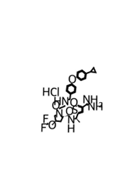 C[C@@H](NC(=O)[C@@H]1C[C@@H](OC(F)F)CN1C(=O)CNC(=O)c1ccc(Oc2ccc(C3CC3)cc2)cc1)c1cc(C(=N)N)cs1.Cl